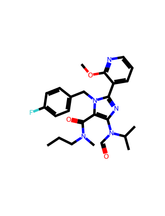 CCCN(C)C(=O)c1c(N(C=O)C(C)C)nc(-c2cccnc2OC)n1Cc1ccc(F)cc1